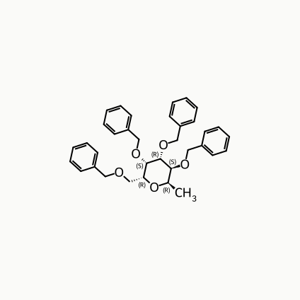 C[C@H]1O[C@H](COCc2ccccc2)[C@H](OCc2ccccc2)[C@H](OCc2ccccc2)[C@H]1OCc1ccccc1